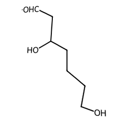 O=[C]CC(O)CCCCO